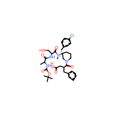 CC(NC(=O)OC(C)(C)C)C(=O)NC(CO)C(=O)N(C)[C@@]1(Cc2ccc(Cl)cc2)CCCN(C(=O)C(CC(=O)O)Cc2ccccc2)C1